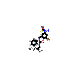 CCCC(Cn1c(=O)n(Cc2cc(Br)cc3[nH]c(=O)sc23)c2ccccc21)C(=O)O